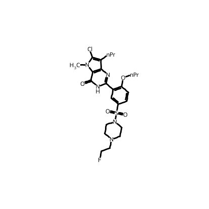 CCCOc1ccc(S(=O)(=O)N2CCN(CCF)CC2)cc1-c1nc2c(CCC)c(Cl)n(C)c2c(=O)[nH]1